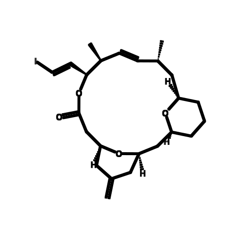 C=C1C[C@@H]2C[C@@H]3CCC[C@H](C[C@@H](C)/C=C/[C@H](C)[C@H](/C=C/I)OC(=O)C[C@H](C1)O2)O3